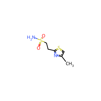 Cc1csc(CCS(N)(=O)=O)n1